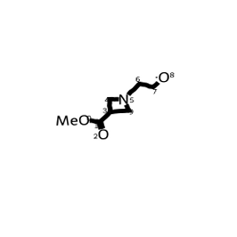 COC(=O)C1CN(CC[O])C1